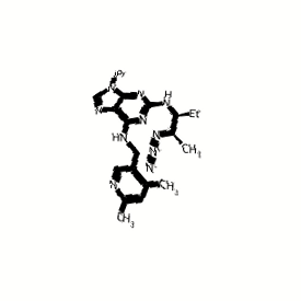 CC[C@H](Nc1nc(NCc2cnc(C)cc2C)c2ncn(C(C)C)c2n1)[C@@H](C)N=[N+]=[N-]